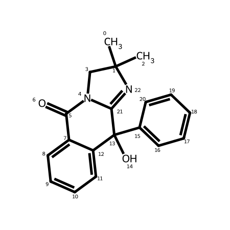 CC1(C)CN2C(=O)c3ccccc3C(O)(c3ccccc3)C2=N1